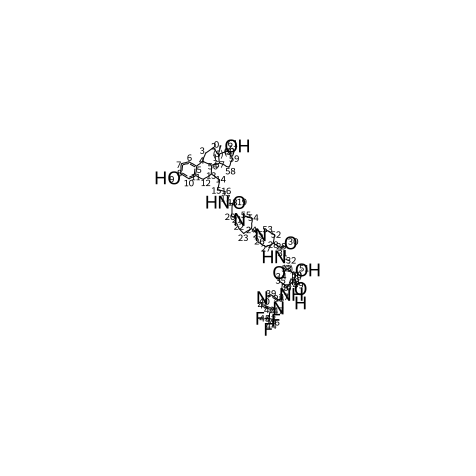 C[C@]12CCC3c4ccc(O)cc4CC(CCCNC(=O)CN4CCC(N5CCC(C(=O)NC[C@H]6OC[C@H](Nc7cncc(C(F)(F)F)n7)[C@@H](O)[C@H]6O)CC5)CC4)C3C1CC[C@@H]2O